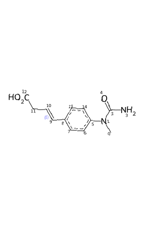 CN(C(N)=O)c1ccc(/C=C/CC(=O)O)cc1